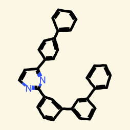 c1ccc(-c2ccc(-c3ccnc(-c4cccc(-c5cccc(-c6ccccc6)c5)c4)n3)cc2)cc1